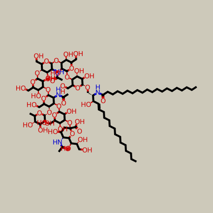 CCCCCCCCCCCCC/C=C/[C@@H](O)[C@H](CO[C@@H]1OC(CO)[C@@H](O[C@@H]2OC(CO)[C@H](O)[C@H](O[C@@H]3OC(CO)[C@@H](O[C@@H]4OC(CO)[C@H](O)[C@H](O[C@@H]5OC(CO)[C@@H](O[C@H]6OC(C)[C@@H](O)C(O)[C@@H]6O)[C@H](O[C@@H]6OC(CO)[C@H](O)[C@H](O[C@]7(C(=O)O)CC(O)[C@@H](NC(C)=O)C([C@H](O)[C@H](O)CO)O7)C6O)C5NC(C)=O)C4O)[C@H](O)C3NC(C)=O)C2O)[C@H](O)C1O)NC(=O)CCCCCCCCCCCCCCCCCCC